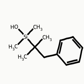 CC(C)(Cc1ccccc1)[Si](C)(C)O